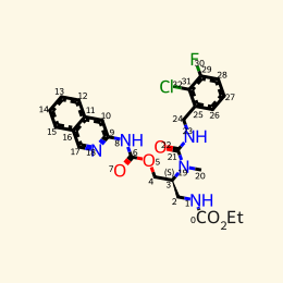 CCOC(=O)NC[C@@H](COC(=O)Nc1cc2ccccc2cn1)N(C)C(=O)NCc1cccc(F)c1Cl